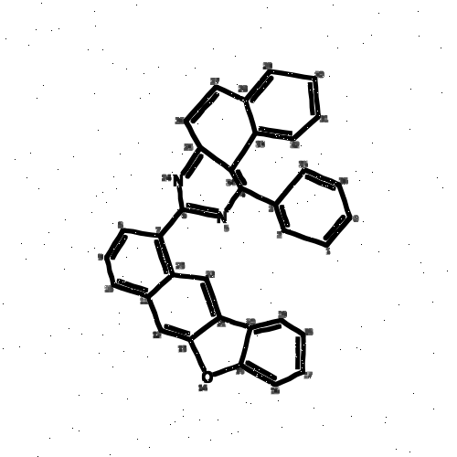 c1ccc(-c2nc(-c3cccc4cc5oc6ccccc6c5cc34)nc3ccc4ccccc4c23)cc1